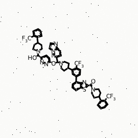 O=C(c1nc2c(-c3ccc(C(F)(F)F)c(C4CCN(C(Oc5ccc(C(O)N6CCC(c7ccccc7C(F)(F)F)CC6)nn5)c5ccc6nccn6n5)CC4)c3)cccc2s1)N1CCC(c2ccccc2C(F)(F)F)CC1